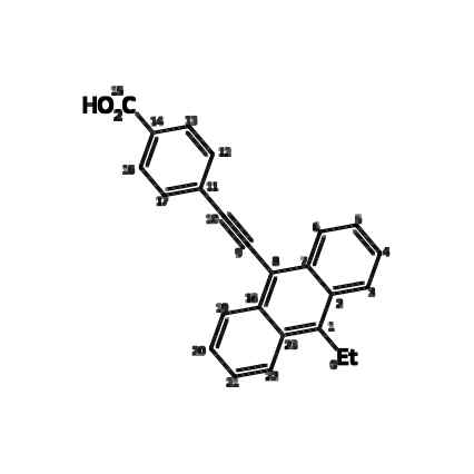 CCc1c2ccccc2c(C#Cc2ccc(C(=O)O)cc2)c2ccccc12